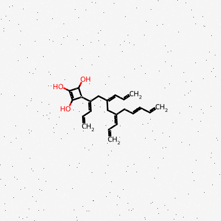 C=C/C=C(/C/C=C/C=C)C/C(=C\C=C)C/C(=C/C=C)C1C(O)=C(O)C1O